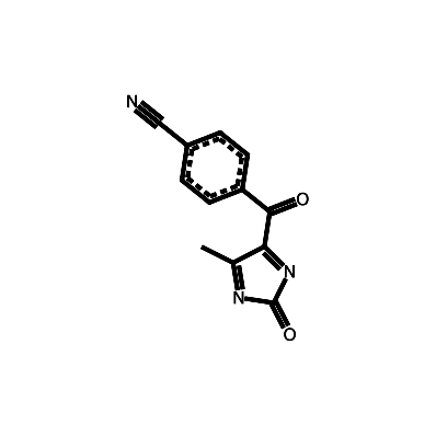 CC1=NC(=O)N=C1C(=O)c1ccc(C#N)cc1